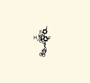 NC(=O)c1c(Nc2ccc(I)cc2F)cc(F)cc1OCCCN1CCS(=O)(=O)CC1